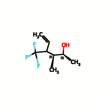 C=CC([C@H](C)[C@H](C)O)C(F)(F)F